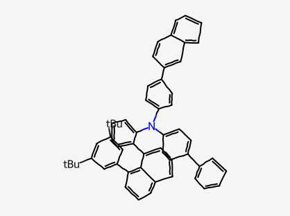 CC(C)(C)c1cc(-c2cccc3cccc(-c4ccccc4N(c4ccc(-c5ccccc5)cc4)c4ccc(-c5ccc6ccccc6c5)cc4)c23)cc(C(C)(C)C)c1